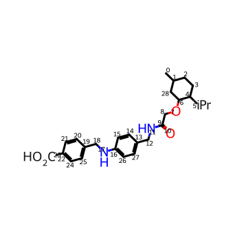 CC1CCC(C(C)C)C(OCC(=O)NCc2ccc(NCc3ccc(C(=O)O)cc3)cc2)C1